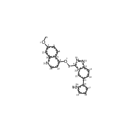 COc1ccc2c(OCc3nnc4ccc(-c5ccc[nH]5)cn34)ccnc2c1